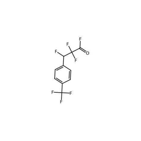 O=C(F)C(F)(F)C(F)c1ccc(C(F)(F)F)cc1